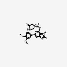 COc1ccc(-c2cc3nc(C)n(C)c3c(O[C@H](C)[C@H]3CNC(=O)C3)n2)cc1OC